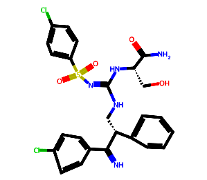 N=C(c1ccc(Cl)cc1)[C@H](CN/C(=N/S(=O)(=O)c1ccc(Cl)cc1)N[C@@H](CO)C(N)=O)c1ccccc1